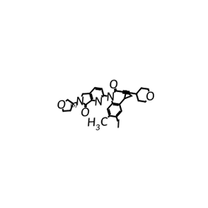 Cc1cc(N(C(=O)C#CC2CCOCC2)c2ccc3c(n2)C(=O)N([C@H]2CCOC2)C3)c(C2CC2)cc1I